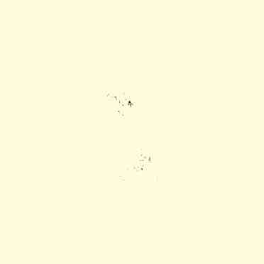 CC1=C(c2ccc(CNC(=O)[C@@H]3CC(C)CN3C(=O)C(NC(=O)COCCOCCOCCCOCCOCCN(C)C(=O)CC3N=C(c4ccc(C)cc4)C4C(C)C(C)CC4n4c(C)nnc43)C(C)(C)C)cc2)N=CC1